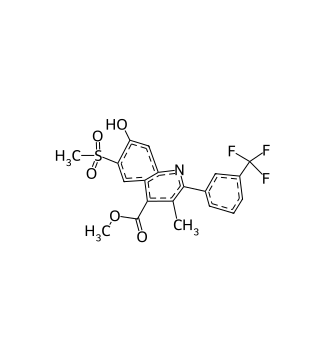 COC(=O)c1c(C)c(-c2cccc(C(F)(F)F)c2)nc2cc(O)c(S(C)(=O)=O)cc12